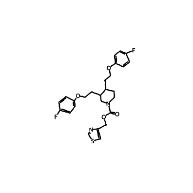 O=C(OCc1cscn1)N1CCC(CCOc2ccc(F)cc2)C(CCOc2ccc(F)cc2)C1